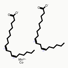 CCCCC/C=C\C/C=C\CCCCCCCC(=O)[O-].CCCCC/C=C\C/C=C\CCCCCCCC(=O)[O-].[Co].[Mn+2]